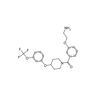 NCCOc1cccc(C(=O)N2CCC(Oc3cccc(OC(F)(F)F)c3)CC2)c1